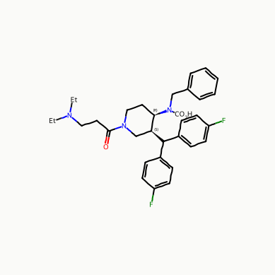 CCN(CC)CCC(=O)N1CC[C@@H](N(Cc2ccccc2)C(=O)O)[C@@H](C(c2ccc(F)cc2)c2ccc(F)cc2)C1